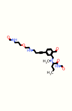 CCCC(C(=O)NC=O)N(C)Cc1cc(C#CCCNCCOCCCNC=O)ccc1C=O